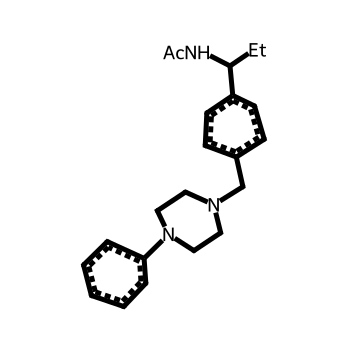 CCC(NC(C)=O)c1ccc(CN2CCN(c3ccccc3)CC2)cc1